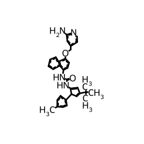 Cc1ccc(C2C=C(C(C)(C)C)C=C2NC(=O)Nc2ccc(OCc3ccnc(N)c3)c3ccccc23)cc1